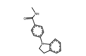 CNC(=O)c1ccc(N2CCc3[c]cccc32)cc1